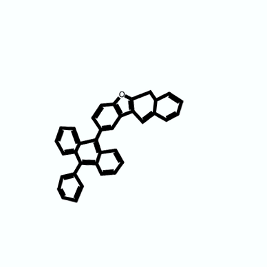 C1=CC2=Cc3c(oc4ccc(-c5c6ccccc6c(-c6ccccc6)c6ccccc56)cc34)CC2C=C1